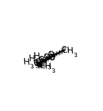 CCCCCCCCCCC(=O)OC/C=C(C)/C=C/C=C(C)/C=C/C1=C(C)CCCC1(C)C